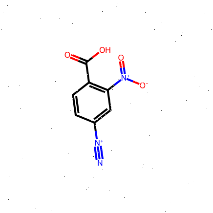 N#[N+]c1ccc(C(=O)O)c([N+](=O)[O-])c1